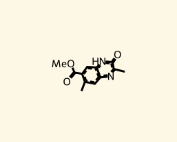 COC(=O)c1cc2[nH]c(=O)c(C)nc2cc1C